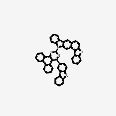 c1ccc2c(c1)oc1ccc3cc4c5ccccc5n(-c5nc(-c6ccc7sc8ccccc8c7c6)c6c7ccccc7c7ccccc7c6n5)c4cc3c12